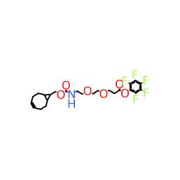 O=C(CCOCCOCCNC(=O)OCC1C2CCC#CCCC21)Oc1c(F)c(F)c(F)c(F)c1F